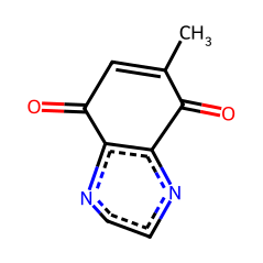 CC1=CC(=O)c2nccnc2C1=O